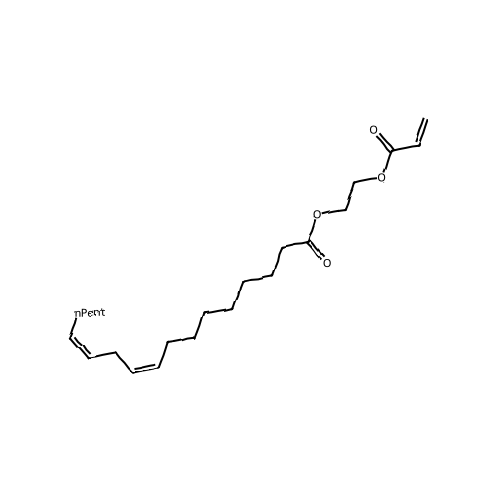 C=CC(=O)OCCOC(=O)CCCCCCC/C=C\C/C=C\CCCCC